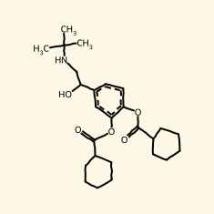 CC(C)(C)NCC(O)c1ccc(OC(=O)C2CCCCC2)c(OC(=O)C2CCCCC2)c1